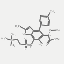 COC(=O)[C@@H](OC(C)(C)C)c1c(C)c(NS(=O)(=O)CC[Si](C)(C)C)c2[nH]c(C)cc2c1-c1ccc(C)cc1